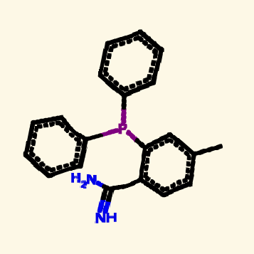 Cc1ccc(C(=N)N)c(P(c2ccccc2)c2ccccc2)c1